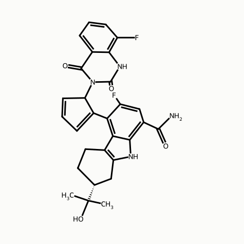 CC(C)(O)[C@@H]1CCc2c([nH]c3c(C(N)=O)cc(F)c(C4=CC=CC4n4c(=O)[nH]c5c(F)cccc5c4=O)c23)C1